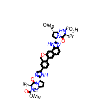 CC[C@H]1CC[C@@H](c2ncc(-c3ccc4c(c3)COc3cc5c(ccc6nc([C@@H]7C[C@H](COC)CN7C(=O)[C@@H](NC(=O)O)C(C)C)[nH]c65)cc3-4)[nH]2)N1C(=O)[C@@H](NC(=O)OC)C(C)C